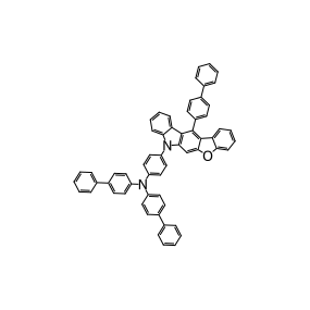 c1ccc(-c2ccc(-c3c4c(cc5c3c3ccccc3n5-c3ccc(N(c5ccc(-c6ccccc6)cc5)c5ccc(-c6ccccc6)cc5)cc3)oc3ccccc34)cc2)cc1